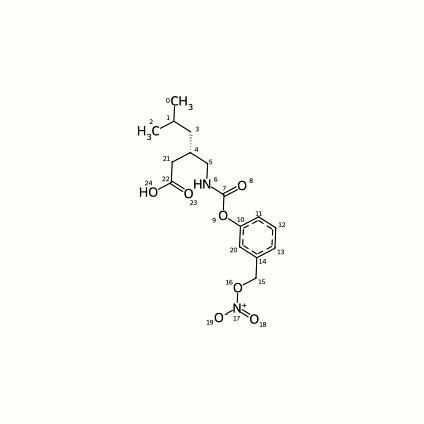 CC(C)C[C@H](CNC(=O)Oc1cccc(CO[N+](=O)[O-])c1)CC(=O)O